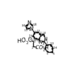 O=C(O)CCC(=O)O.c1ccc(-c2ncc3cc(-n4ccnc4)ccc3n2)cc1